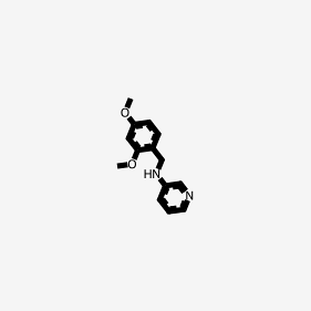 COc1ccc(CNc2cccnc2)c(OC)c1